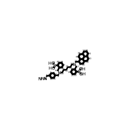 [N-]=[N+]=NCc1ccc(CN(CCCCCCN(Cc2ccccc2B(O)O)Cc2ccc3ccc4cccc5ccc2c3c45)Cc2ccccc2B(O)O)cc1